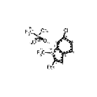 CCc1cc2ccc(Cl)cc2[s+]1C(F)(F)F.O=S(=O)([O-])C(F)(F)F